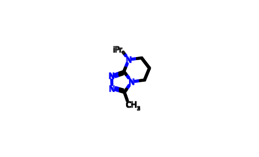 Cc1nnc2n1CCCN2C(C)C